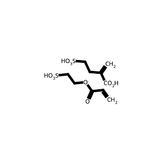 C=C(CCS(=O)(=O)O)C(=O)O.C=CC(=O)OCCS(=O)(=O)O